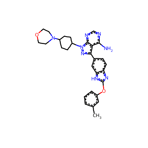 Cc1cccc(Oc2nc3ccc(-c4nn(C5CCC(N6CCOCC6)CC5)c5ncnc(N)c45)cc3[nH]2)c1